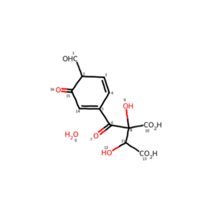 O.O=CC1C=CC(C(=O)C(O)(C(=O)O)C(O)C(=O)O)=CC1=O